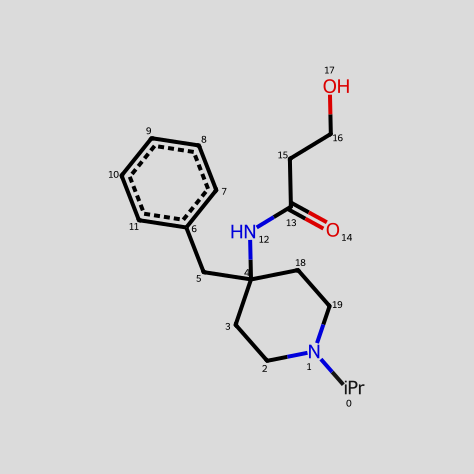 CC(C)N1CCC(Cc2ccccc2)(NC(=O)CCO)CC1